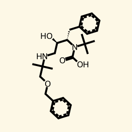 CC(C)(COCc1ccccc1)NC[C@@H](O)[C@H](Cc1ccccc1)N(C(=O)O)C(C)(C)C